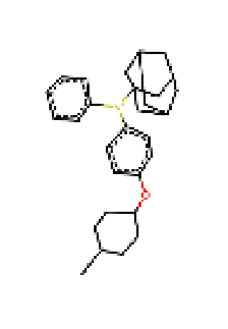 CC1CCC(Oc2ccc([S+](c3ccccc3)C34CC5CC(CC(C5)C3)C4)cc2)CC1